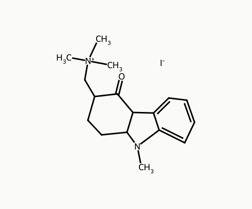 CN1c2ccccc2C2C(=O)C(C[N+](C)(C)C)CCC21.[I-]